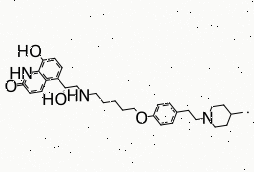 [CH2]C1CCN(CCc2ccc(OCCCCCNC[C@H](O)c3ccc(O)c4[nH]c(=O)ccc34)cc2)CC1